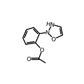 CC(=O)Oc1ccccc1N1NC=CO1